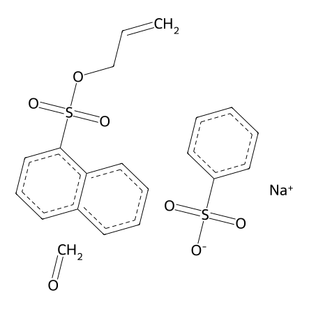 C=CCOS(=O)(=O)c1cccc2ccccc12.C=O.O=S(=O)([O-])c1ccccc1.[Na+]